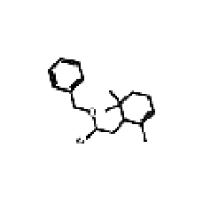 CC(=O)C(CC1C(C)=CCCC1(C)C)OCc1ccccc1